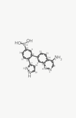 Nc1cnnc2cc(-c3cc(B(O)O)ccc3-c3cc[nH]n3)ccc12